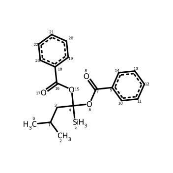 CC(C)CC([SiH3])(OC(=O)c1ccccc1)OC(=O)c1ccccc1